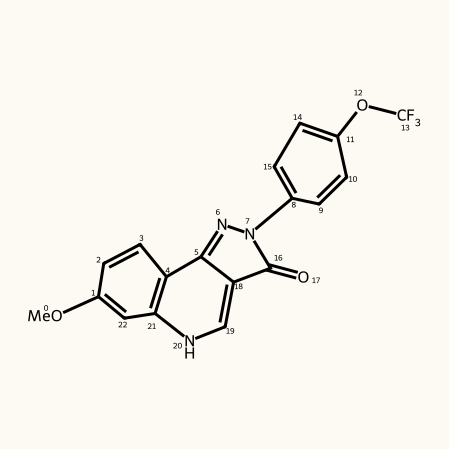 COc1ccc2c3nn(-c4ccc(OC(F)(F)F)cc4)c(=O)c-3c[nH]c2c1